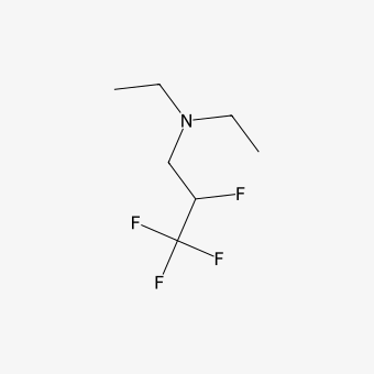 CCN(CC)CC(F)C(F)(F)F